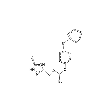 CCC(Oc1ccc(Sc2ccccc2)cc1)SCc1n[nH]c(=O)[nH]1